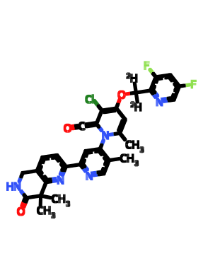 [2H]C([2H])(OC1=C(Cl)C(=C=O)N(c2cc(-c3ccc4c(n3)C(C)(C)C(=O)NC4)ncc2C)C(C)=C1)c1ncc(F)cc1F